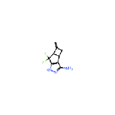 C=C1CC2c3c(N)n[nH]c3C(F)(F)C12